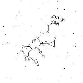 O=C(O)NCCCc1nc2cccc(Cl)c2c(=O)n1C1CC1